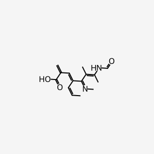 C=C(/C=C(\C=C/C)C(=N/C)/C(C)=C(\C)NC=O)C(=O)O